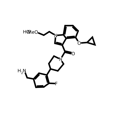 COCCn1cc(C(=O)N2CCC(c3cc(CN)ccc3F)CC2)c2c(OC3CC3)cccc21.Cl